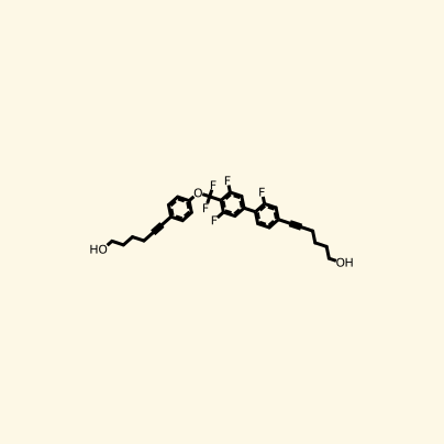 OCCCCC#Cc1ccc(OC(F)(F)c2c(F)cc(-c3ccc(C#CCCCCO)cc3F)cc2F)cc1